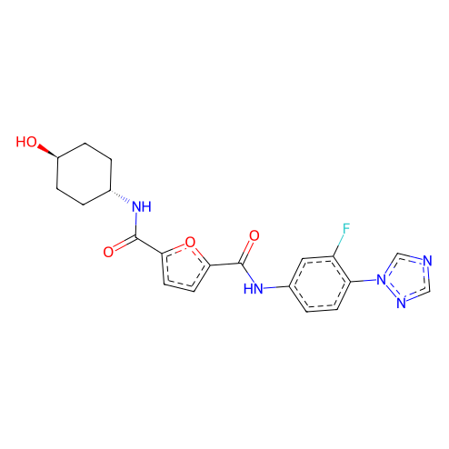 O=C(Nc1ccc(-n2cncn2)c(F)c1)c1ccc(C(=O)N[C@H]2CC[C@H](O)CC2)o1